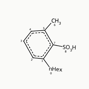 CCCCCCc1cccc(C)c1S(=O)(=O)O